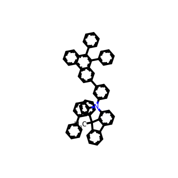 CC1(c2ccccc2)c2ccccc2-c2cccc(N(c3cccc(-c4ccccc4)c3)c3cccc(-c4ccc5c(c4)c(-c4ccccc4)c(-c4ccccc4)c4ccccc45)c3)c21